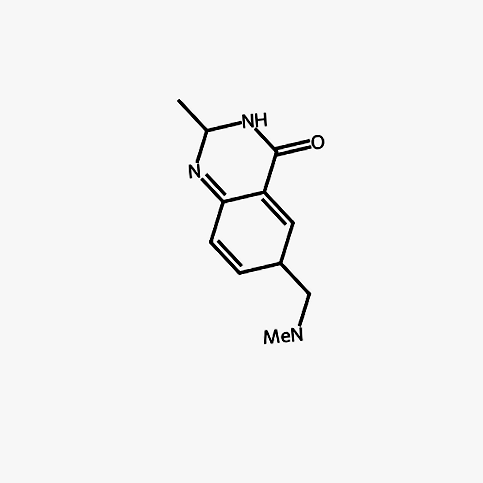 CNCC1C=CC2=NC(C)NC(=O)C2=C1